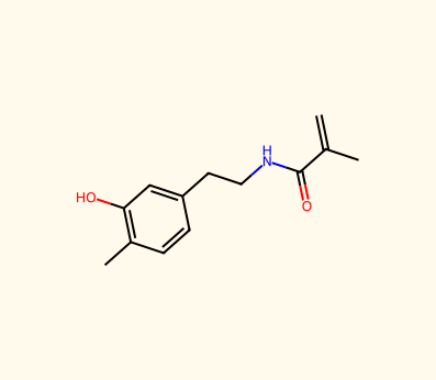 C=C(C)C(=O)NCCc1ccc(C)c(O)c1